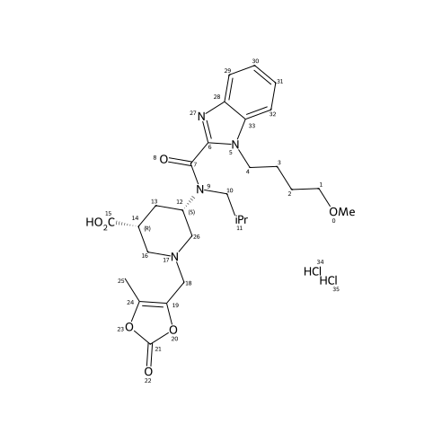 COCCCCn1c(C(=O)N(CC(C)C)[C@H]2C[C@@H](C(=O)O)CN(Cc3oc(=O)oc3C)C2)nc2ccccc21.Cl.Cl